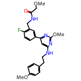 COCC(=O)NCc1cc(-c2cc(NCCc3ccc(OC)cc3)nc(OC)n2)ccc1F